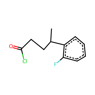 CC(CCC(=O)Cl)c1ccccc1F